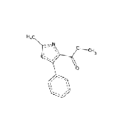 COC(=O)c1nc(C)sc1-c1ccccc1